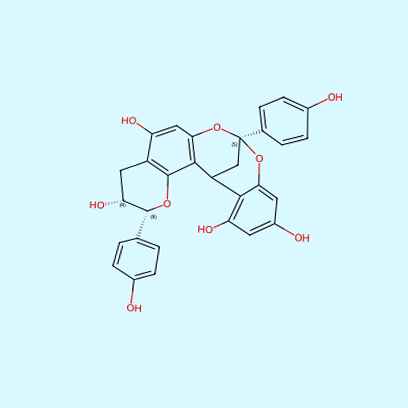 Oc1ccc([C@H]2Oc3c(c(O)cc4c3C3C[C@](c5ccc(O)cc5)(Oc5cc(O)cc(O)c53)O4)C[C@H]2O)cc1